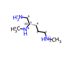 CNCCC[C@@H](CN)NC